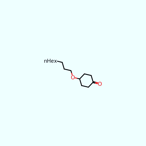 CCCCCCCCCOC1CCC(=O)CC1